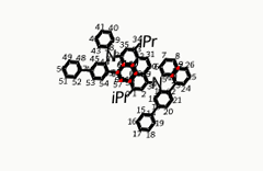 CC(C)c1cc(N(c2ccccc2)c2cc(-c3ccccc3)ccc2-c2ccccc2)c2ccc3c(C(C)C)cc(N(c4ccccc4)c4cc(-c5ccccc5)ccc4-c4ccccc4)c4ccc1c2c34